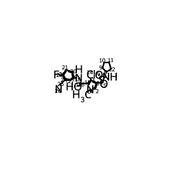 Cn1cc(S(=O)(=O)NC2CCCC2)c(Cl)c1C(O)Nc1ccc(F)c(C#N)c1